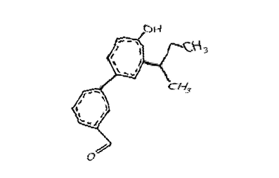 CCC(C)c1cc(-c2cccc(C=O)c2)ccc1O